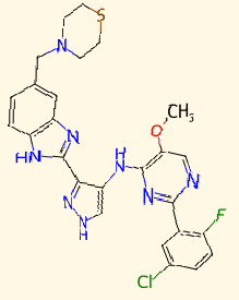 COc1cnc(-c2cc(Cl)ccc2F)nc1Nc1c[nH]nc1-c1nc2cc(CN3CCSCC3)ccc2[nH]1